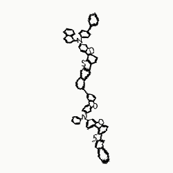 c1ccc(-c2ccc(N(c3ccc4c(c3)oc3ccc5c6cc7cc(-c8ccc9oc%10cc(N(c%11ccccc%11)c%11ccc%12c(c%11)oc%11ccc%13c%14cc%15ccccc%15cc%14sc%13c%11%12)ccc%10c9c8)ccc7cc6sc5c34)c3cccc4ccccc34)cc2)cc1